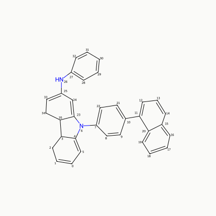 C1=CCC2C(=C1)N(c1ccc(-c3cccc4ccccc34)cc1)C1=CC(Nc3ccccc3)=CCC12